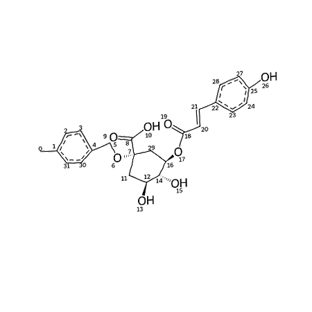 Cc1ccc(CO[C@@]2(C(=O)O)C[C@H](O)[C@@H](O)[C@H](OC(=O)/C=C/c3ccc(O)cc3)C2)cc1